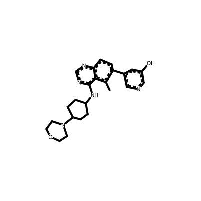 Cc1c(-c2cncc(O)c2)ccc2ncnc(NC3CCC(N4CCOCC4)CC3)c12